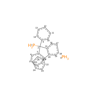 P.PC(c1ccccc1)(c1ccccc1)c1ccccc1-c1ccccc1